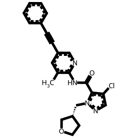 Cc1cc(C#Cc2ccccc2)cnc1NC(=O)c1c(Cl)cnn1C[C@@H]1CCOC1